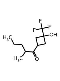 CCCC(C)C(=O)C1CC(O)(C(F)(F)F)C1